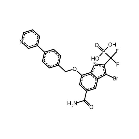 NC(=O)c1cc(OCc2ccc(-c3cccnc3)cc2)c2sc(C(F)(F)P(=O)(O)O)c(Br)c2c1